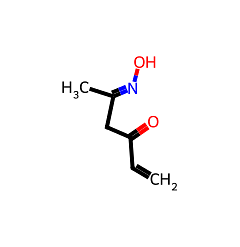 C=CC(=O)CC(C)=NO